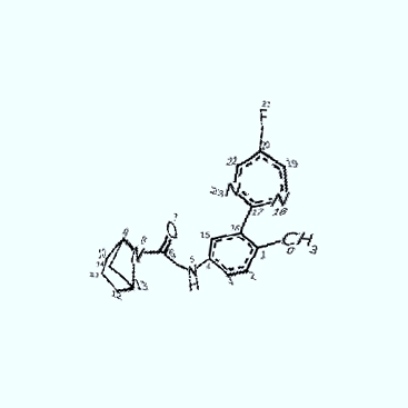 Cc1ccc(NC(=O)N2C3CCCC2C3)cc1-c1ncc(F)cn1